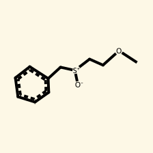 COCC[S+]([O-])Cc1c[c]ccc1